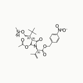 C=C(C)[C@H](C(=O)OCc1ccc([N+](=O)[O-])cc1)N1C(=O)[C@H]([C@@H](CO[SiH](C)C)C(C)(C)C)C1OC(C)=O